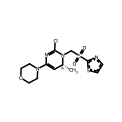 C[C@@H]1C=C(N2CCOCC2)N=C(Cl)N1CS(=O)(=O)c1nccs1